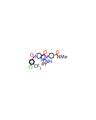 CNC(=O)[C@H]1CC[C@@H](n2c(NC(C)C)nc3c(c2=O)C[C@@H](C)N(C(=O)c2ccc(Cl)c(C(F)(F)F)c2)C3)CC1